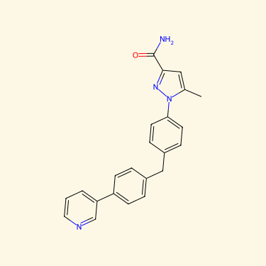 Cc1cc(C(N)=O)nn1-c1ccc(Cc2ccc(-c3cccnc3)cc2)cc1